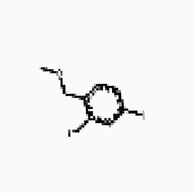 COCc1ccc(I)cc1Cl